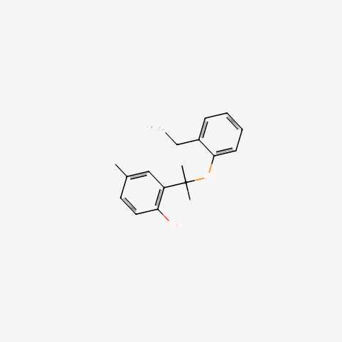 CCC(C)(Pc1ccccc1CNC)c1cc(C)ccc1O